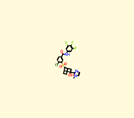 Cn1ccnc1[C@@]1(O)CC2[C@@H](S(=O)(=O)c3cc(C(=O)Nc4cc(F)c(F)c(F)c4)ccc3Cl)C3CCC321